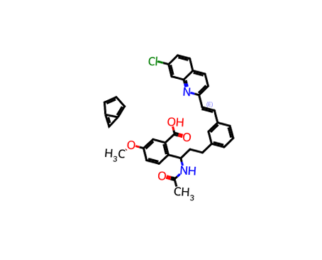 COc1ccc(C(CCc2cccc(/C=C/c3ccc4ccc(Cl)cc4n3)c2)NC(C)=O)c(C(=O)O)c1.c1cc2cc-2c1